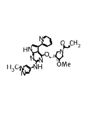 C=CC(=O)N1C[C@@H](COc2nc(Nc3cnn(C)c3)nc3[nH]cc(-c4ccccn4)c23)[C@H](OC)C1